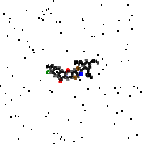 Cc1cc(C)c(-c2nc3sc(/C=C4\C(=O)c5cc(C)c(Cl)cc5C4=O)cc3s2)c(C)c1